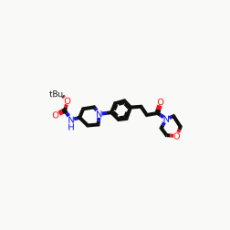 CC(C)(C)OC(=O)NC1CCN(c2ccc(CCC(=O)N3CCOCC3)cc2)CC1